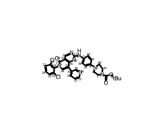 CC(C)(C)OC(=O)N1CCN(c2ccc(Nc3ncc4c(=O)n(-c5c(Cl)cccc5Cl)cc(-c5cccnc5)c4n3)cc2)CC1